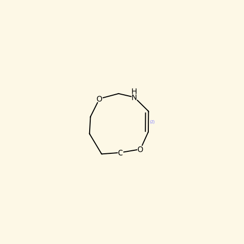 C1=C\OCCCCOCN/1